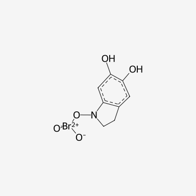 [O-][Br+2]([O-])ON1CCc2cc(O)c(O)cc21